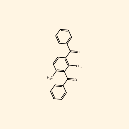 Cc1ccc(C(=O)c2ccccc2)c(C)c1C(=O)c1ccccc1